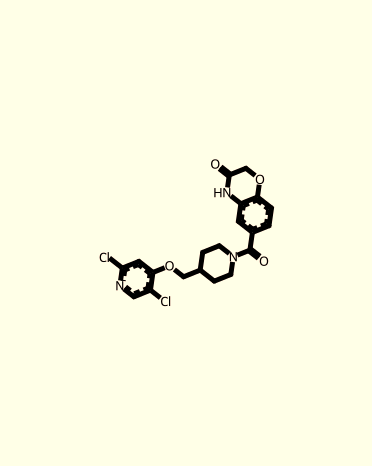 O=C1COc2ccc(C(=O)N3CCC(COc4cc(Cl)ncc4Cl)CC3)cc2N1